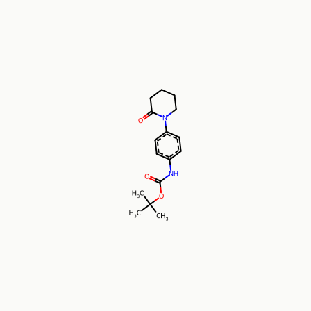 CC(C)(C)OC(=O)Nc1ccc(N2CCCCC2=O)cc1